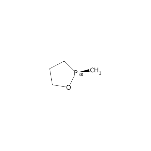 C[P@]1CCCO1